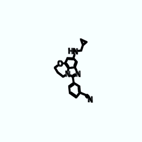 N#Cc1cccc(-c2nc3cc(NCC4CC4)cc4c3n2CCCO4)c1